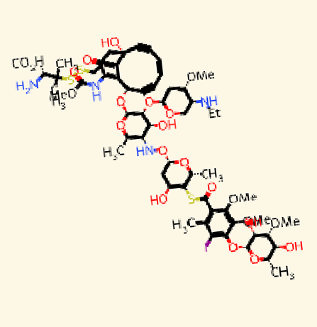 CCN[C@H]1CO[C@@H](O[C@H]2[C@H](O[C@H]3C#C/C=C\C#C[C@]4(O)CC(=O)C(NC(=O)OC)=C3/C4=C\CSSC(C)(C)[C@H](N)C(=O)O)O[C@H](C)[C@@H](NO[C@H]3C[C@H](O)[C@H](SC(=O)c4c(C)c(I)c(O[C@@H]5O[C@@H](C)[C@H](O)[C@@H](OC)[C@H]5O)c(OC)c4OC)[C@@H](C)O3)[C@@H]2O)C[C@@H]1OC